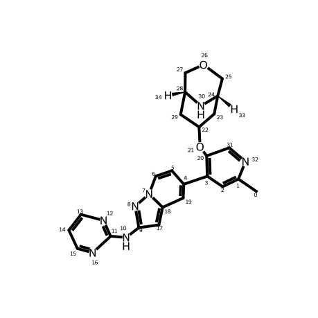 Cc1cc(-c2ccn3nc(Nc4ncccn4)cc3c2)c(OC2C[C@H]3COC[C@@H](C2)N3)cn1